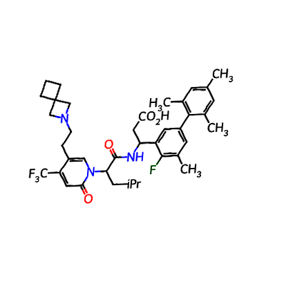 Cc1cc(C)c(-c2cc(C)c(F)c(C(CC(=O)O)NC(=O)C(CC(C)C)n3cc(CCN4CC5(CCC5)C4)c(C(F)(F)F)cc3=O)c2)c(C)c1